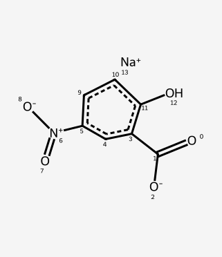 O=C([O-])c1cc([N+](=O)[O-])ccc1O.[Na+]